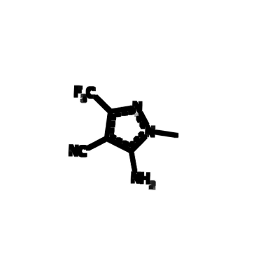 Cn1nc(C(F)(F)F)c(C#N)c1N